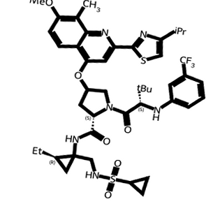 CC[C@@H]1CC1(CNS(=O)(=O)C1CC1)NC(=O)[C@@H]1CC(Oc2cc(-c3nc(C(C)C)cs3)nc3c(C)c(OC)ccc23)CN1C(=O)[C@@H](Nc1cccc(C(F)(F)F)c1)C(C)(C)C